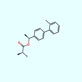 Cc1ccccc1-c1ccc([C@H](C)OC(=O)[C@H](C)I)cc1